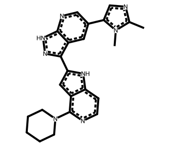 Cc1ncc(-c2cnc3[nH]nc(-c4cc5c(N6CCCCC6)nccc5[nH]4)c3c2)n1C